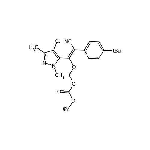 Cc1nn(C)c(/C(OCOC(=O)OC(C)C)=C(\C#N)c2ccc(C(C)(C)C)cc2)c1Cl